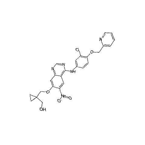 O=[N+]([O-])c1cc2c(Nc3ccc(OCc4ccccn4)c(Cl)c3)ncnc2cc1OCC1(CO)CC1